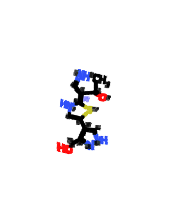 CC(=O)/C(C=N)=C1/NC=C(c2c[nH]nc2CO)S1